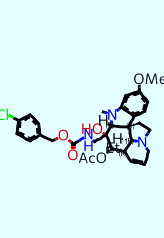 CC[C@]12C=CCN3CC[C@@]4(c5ccc(OC)cc5N(C)[C@H]4C(O)(CNC(=O)OCc4ccc(Cl)cc4)[C@@H]1OC(C)=O)[C@@H]32